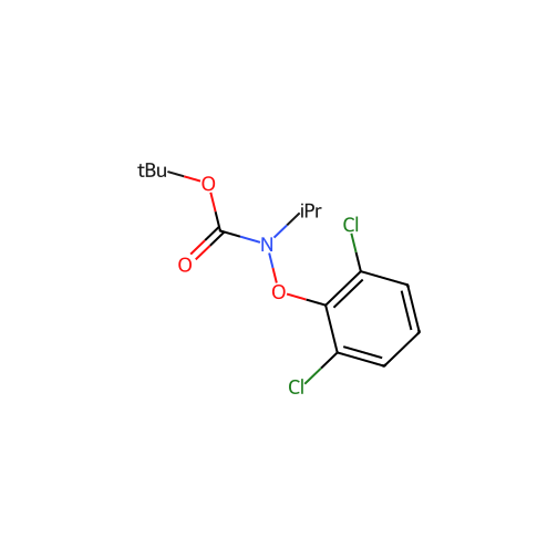 CC(C)N(Oc1c(Cl)cccc1Cl)C(=O)OC(C)(C)C